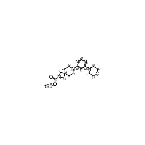 CC(C)(C)OC(=O)N1CC2(CCN(c3cc(N4CCOCC4)ncn3)CC2)C1